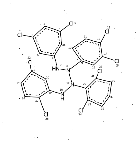 Clc1cc(Cl)cc(NN(c2ccc(Cl)c(Cl)c2)N(Nc2cc(Cl)ccc2Cl)c2c(Cl)cccc2Cl)c1